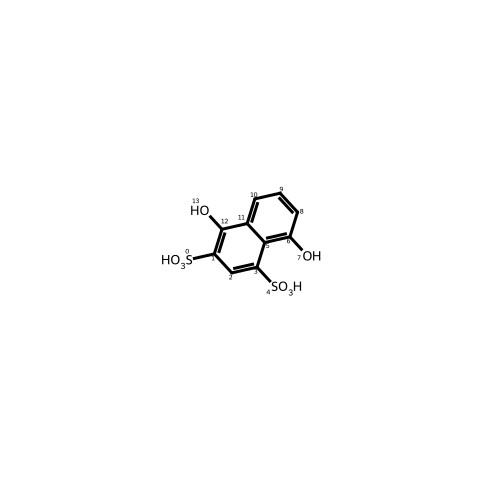 O=S(=O)(O)c1cc(S(=O)(=O)O)c2c(O)cccc2c1O